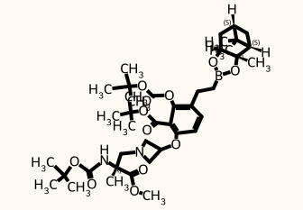 COC(=O)[C@@](C)(CN1CC(Oc2ccc(CCB3O[C@@H]4C[C@@H]5C[C@@H](C5(C)C)[C@]4(C)O3)c(OC(=O)OC(C)(C)C)c2C(=O)OC(C)(C)C)C1)NC(=O)OC(C)(C)C